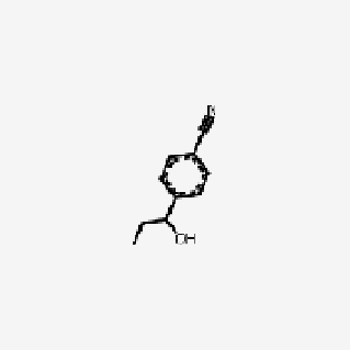 CCC(O)c1ccc(C#N)cc1